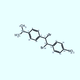 CN(C)c1ccc(C(Br)C(Br)c2ccc([N+](=O)[O-])cc2)cc1